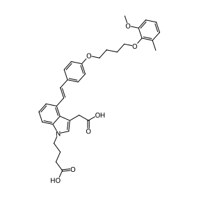 COc1cccc(C)c1OCCCCOc1ccc(C=Cc2cccc3c2c(CC(=O)O)cn3CCCC(=O)O)cc1